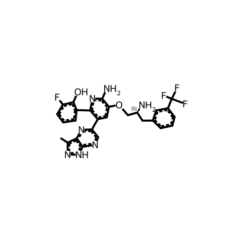 Cc1n[nH]c2ncc(-c3cc(OC[C@@H](N)Cc4cccc(C(F)(F)F)c4)c(N)nc3-c3cccc(F)c3O)nc12